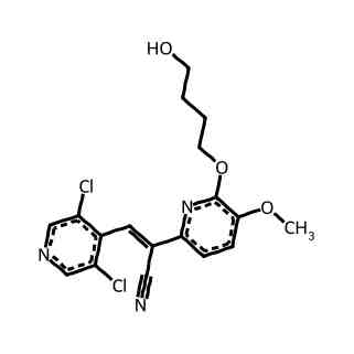 COc1ccc(C(C#N)=Cc2c(Cl)cncc2Cl)nc1OCCCCO